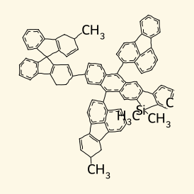 CC1C=CC2=C(C1)c1ccccc1C21C2=C(CCC(c3ccc4c(-c5ccc6c7c(cccc57)-c5ccccc5-6)c5cc6c(cc5c(-c5ccc7c8c(cccc58)C5=C7C=CC(C)C5)c4c3)[Si](C)(C)c3ccccc3-6)=C2)c2ccccc21